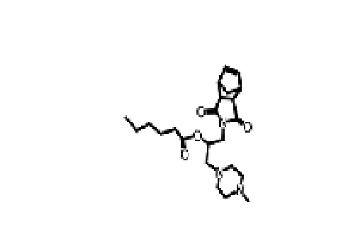 CCCCCC(=O)OC(CN1CCN(C)CC1)CN1C(=O)C2C3C=CC(C3)C2C1=O